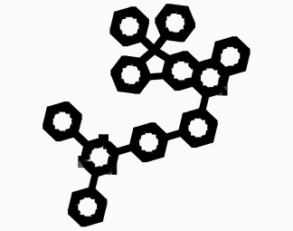 c1ccc(-c2nc(-c3ccccc3)nc(-c3ccc(-c4cccc(-c5nc6ccccc6c6cc7c(cc56)-c5ccccc5C7(c5ccccc5)c5ccccc5)c4)cc3)n2)cc1